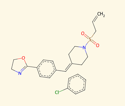 C=CCS(=O)(=O)N1CCC(=Cc2ccc(C3=NCCO3)cc2)CC1.Clc1ccccc1